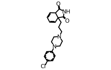 O=C1NC(=O)C2(CCCN3CCN(c4ccc(Cl)cc4)CC3)C=CC=CC12